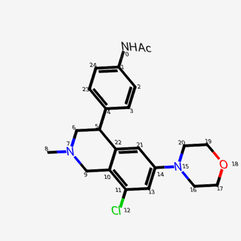 CC(=O)Nc1ccc(C2CN(C)Cc3c(Cl)cc(N4CCOCC4)cc32)cc1